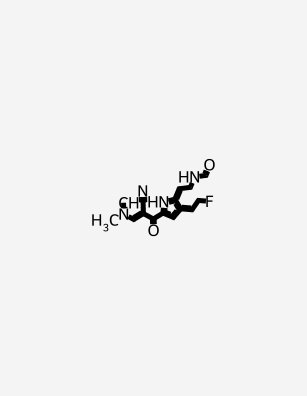 CN(C)/C=C(\C#N)C(=O)c1cc(=C/CF)/c(=C\CNC=O)[nH]1